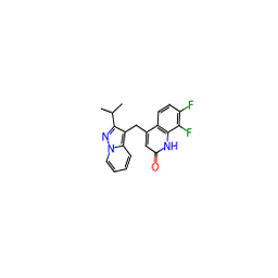 CC(C)c1nn2ccccc2c1Cc1cc(=O)[nH]c2c(F)c(F)ccc12